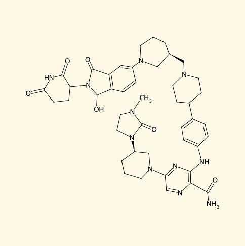 CN1CCN([C@@H]2CCCN(c3cnc(C(N)=O)c(Nc4ccc(C5CCN(C[C@@H]6CCCN(c7ccc8c(c7)C(=O)N(C7CCC(=O)NC7=O)C8O)C6)CC5)cc4)n3)C2)C1=O